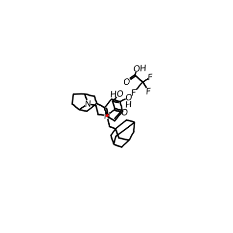 O=C(CO)N(CCN1C2CCC1CC(c1cccc(O)c1)C2)CC12CC3CC(CC(C3)C1)C2.O=C(O)C(F)(F)F